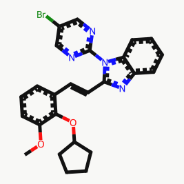 COc1cccc(C=Cc2nc3ccccc3n2-c2ncc(Br)cn2)c1OC1CCCC1